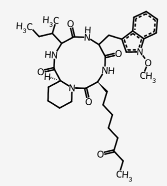 CCC(=O)CCCCC[C@@H]1NC(=O)C(Cc2cn(OC)c3ccccc23)NC(=O)C(C(C)CC)NC(=O)[C@@H]2CCCCN2C1=O